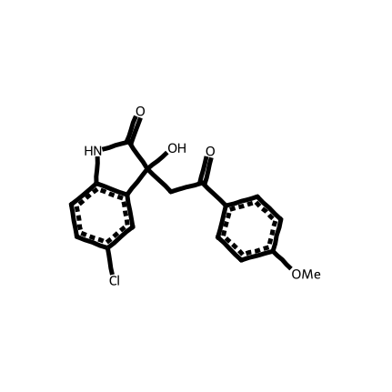 COc1ccc(C(=O)CC2(O)C(=O)Nc3ccc(Cl)cc32)cc1